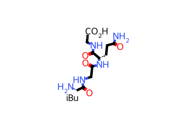 CC[C@H](C)[C@H](N)C(=O)NCC(=O)N[C@@H](CCC(N)=O)C(=O)NCC(=O)O